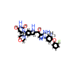 Cc1cc(Oc2ccccc2F)ccc1-n1ncc(C(=O)c2cc3cc(N4CCOCC4)c(-n4c(C)cc(=O)[nH]c4=O)cc3[nH]2)c1N